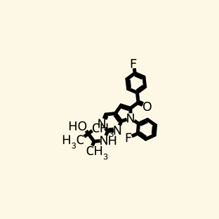 CC(Nc1ncc2cc(C(=O)c3ccc(F)cc3)n(-c3ccccc3F)c2n1)C(C)(C)O